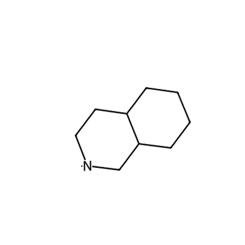 C1CCC2C[N]CCC2C1